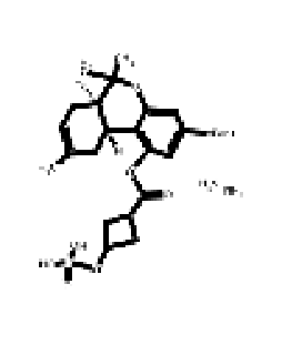 CCCCCc1cc(OC(=O)C2CC(OP(=O)(O)O)C2)c2c(c1)OC(C)(C)[C@@H]1CC=C(C)C[C@@H]21.N.N